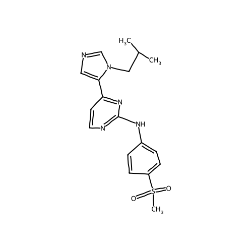 CC(C)Cn1cncc1-c1ccnc(Nc2ccc(S(C)(=O)=O)cc2)n1